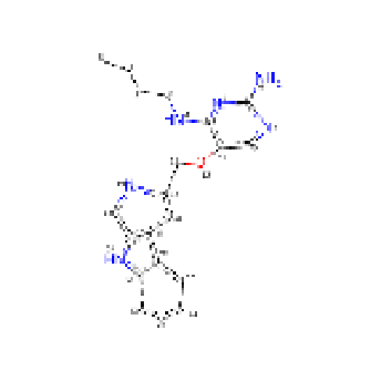 CCCCNc1nc(N)ncc1OCc1cc2c(cn1)[nH]c1ccccc12